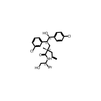 C=CC[C@@](C)(C[C@@H](c1cccc(Cl)c1)[C@@H](O)c1ccc(Cl)cc1)C(=O)N[C@H](CO)C(C)C